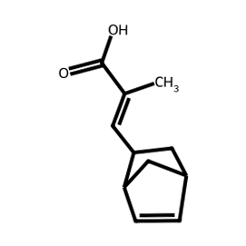 C/C(=C\C1CC2C=CC1C2)C(=O)O